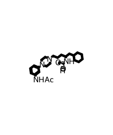 CC(=O)Nc1cccc(N2CCN(CCCC(CC3CCCCC3)N[SH](=O)=O)CC2)c1